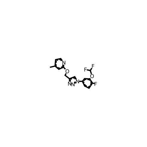 Cc1ccnc(OCc2cn(-c3ccc(F)c(OC(F)F)c3)nn2)c1